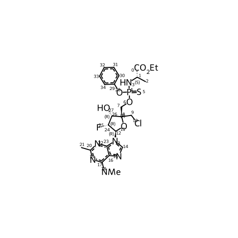 CCOC(=O)[C@H](C)NP(=S)(OC[C@@]1(CCl)O[C@@H](n2cnc3c(NC)nc(C)nc32)[C@H](F)[C@@H]1O)Oc1ccccc1